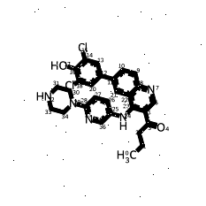 CCCC(=O)c1cnc2ccc(-c3cc(Cl)c(O)c(Cl)c3)cc2c1Nc1ccc(N2CCNCC2)nc1